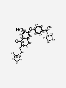 C[C@@H]1CCCN1CCN1CCc2cc(Oc3ccc(C(=O)N4CCCC4)cc3)ccc2C1=O.Cl